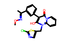 CON=C(C)c1cccc(-c2c(O)[n+](Cc3cnc(Cl)s3)c3ccccn3c2=O)c1